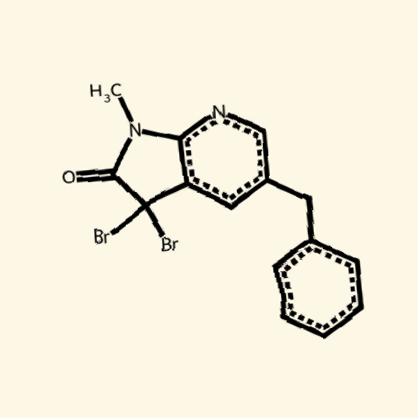 CN1C(=O)C(Br)(Br)c2cc(Cc3ccccc3)cnc21